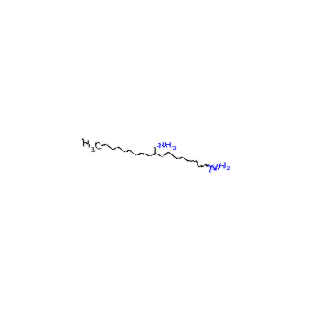 CCCCCCCCCC(CN)CCCCCCCCN